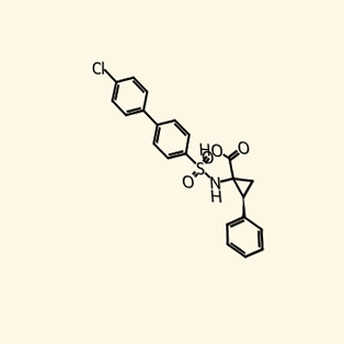 O=C(O)C1(NS(=O)(=O)c2ccc(-c3ccc(Cl)cc3)cc2)C[C@H]1c1ccccc1